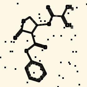 C=C(C)C(=O)OC1COC(=O)C1C(=O)Oc1ccccc1